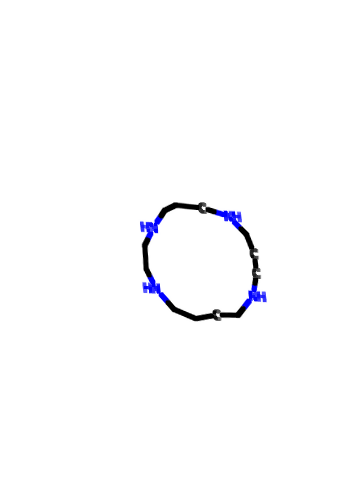 C1CCNCCNCCCNCCCNC1